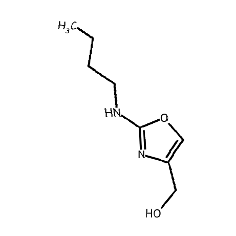 CCCCNc1nc(CO)co1